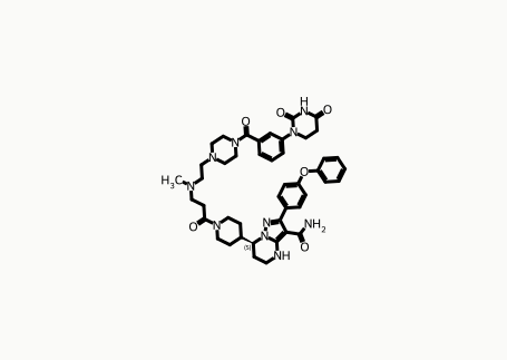 CN(CCC(=O)N1CCC([C@@H]2CCNc3c(C(N)=O)c(-c4ccc(Oc5ccccc5)cc4)nn32)CC1)CCN1CCN(C(=O)c2cccc(N3CCC(=O)NC3=O)c2)CC1